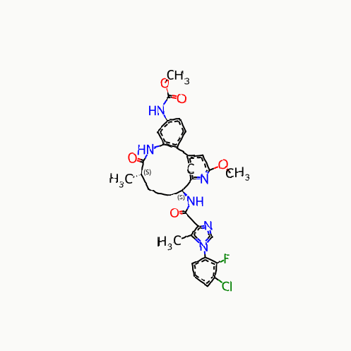 COC(=O)Nc1ccc2c(c1)NC(=O)[C@@H](C)CCC[C@H](NC(=O)c1ncn(-c3cccc(Cl)c3F)c1C)c1cc-2cc(OC)n1